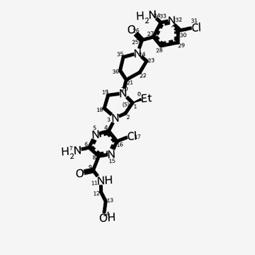 CC[C@H]1CN(c2nc(N)c(C(=O)NCCO)nc2Cl)CCN1C1CCN(C(=O)c2ccc(Cl)nc2N)CC1